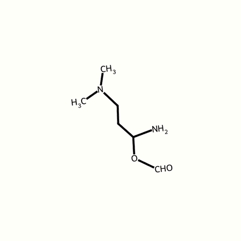 CN(C)CCC(N)OC=O